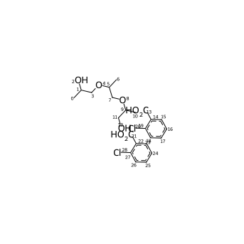 CC(O)COC(C)COC(C)CO.O=C(O)c1ccccc1Cl.O=C(O)c1ccccc1Cl